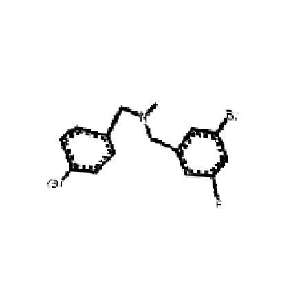 CN(Cc1ccc(C(C)(C)C)cc1)Cc1cc(F)cc(Br)c1